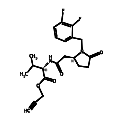 C#CCOC(=O)[C@@H](NC(=O)C[C@@H]1CCC(=O)N1Cc1cccc(F)c1F)C(C)C